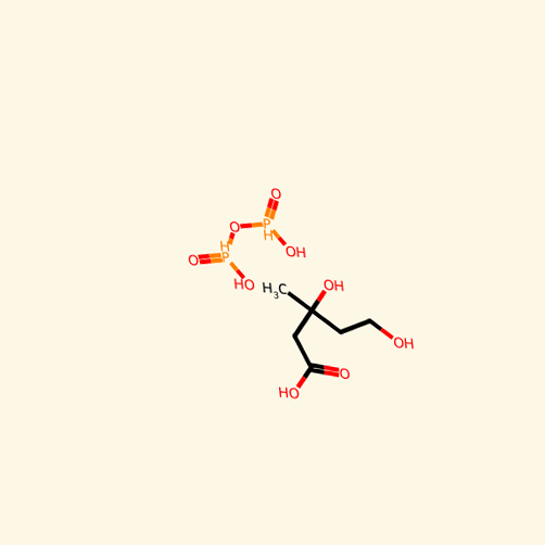 CC(O)(CCO)CC(=O)O.O=[PH](O)O[PH](=O)O